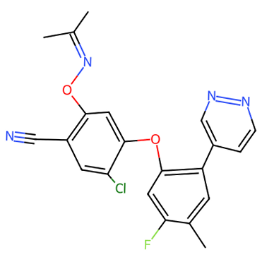 CC(C)=NOc1cc(Oc2cc(F)c(C)cc2-c2ccnnc2)c(Cl)cc1C#N